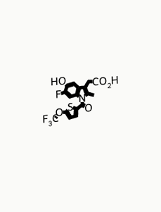 Cc1c(CC(=O)O)c2cc(O)c(F)cc2n1C(=O)c1ccc(OC(F)(F)F)s1